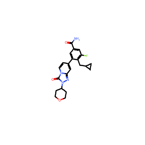 NC(=O)c1cc(F)c(CC2CC2)c(-c2ccn3c(=O)n(C4CCOCC4)nc3c2)c1